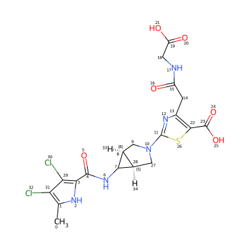 Cc1[nH]c(C(=O)NC2[C@H]3CN(c4nc(CC(=O)NCC(=O)O)c(C(=O)O)s4)C[C@@H]23)c(Cl)c1Cl